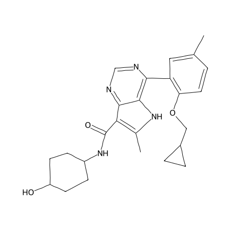 Cc1ccc(OCC2CC2)c(-c2ncnc3c(C(=O)NC4CCC(O)CC4)c(C)[nH]c23)c1